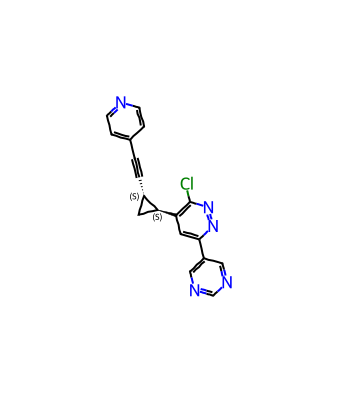 Clc1nnc(-c2cncnc2)cc1[C@H]1C[C@@H]1C#Cc1ccncc1